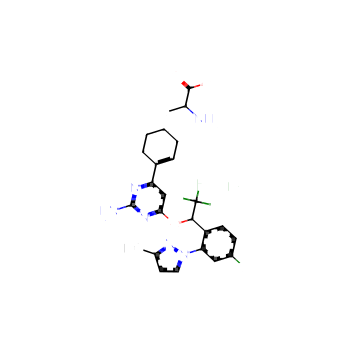 Cc1ccn(-c2cc(Cl)ccc2C(Oc2cc(C3=CC[C@@H](CC(N)C(=O)O)CC3)nc(N)n2)C(F)(F)F)n1.Cl